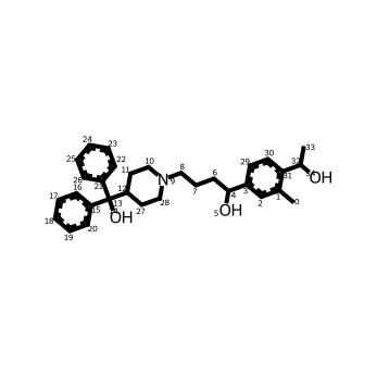 Cc1cc(C(O)CCCN2CCC(C(O)(c3ccccc3)c3ccccc3)CC2)ccc1C(C)O